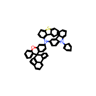 c1ccc(-n2c3ccccc3c3cc(N(c4ccc5c(c4)Oc4ccccc4C54c5ccccc5-c5cccc6cccc4c56)c4cccc5sc6ccccc6c45)ccc32)cc1